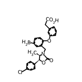 Bc1ccc(Oc2cccc(CC(=O)O)c2)c(CN2C(=O)O[C@@H](c3ccc(Cl)cc3)[C@H]2C)c1